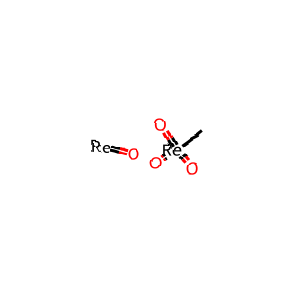 [CH3][Re](=[O])(=[O])=[O].[O]=[Re]